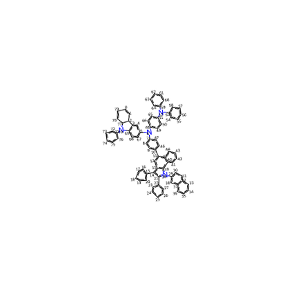 C1=CC2c3cc(N(c4ccc(-c5cc6c(-c7ccccc7)c(-c7ccccc7)n(-c7ccc8ccccc8c7)c6c6ccccc56)cc4)c4ccc(N(c5ccccc5)c5ccccc5)cc4)ccc3N(c3ccccc3)C2C=C1